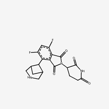 O=C1CCC(N2C(=O)c3c(F)cc(F)c(C4C5CNCC4C5)c3C2=O)C(=O)N1